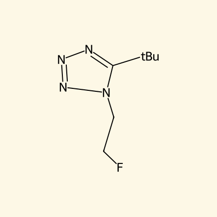 CC(C)(C)c1nnnn1CCF